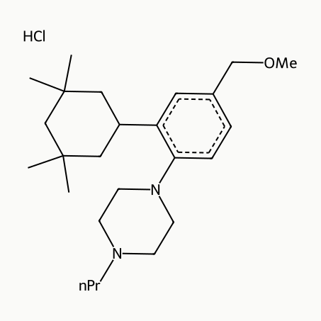 CCCN1CCN(c2ccc(COC)cc2C2CC(C)(C)CC(C)(C)C2)CC1.Cl